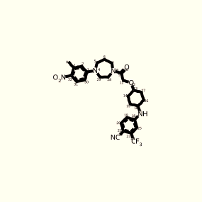 Cc1cc(N2CCCN(C(=O)COC3CCC(Nc4ccc(C#N)c(C(F)(F)F)c4)CC3)CC2)ccc1[N+](=O)[O-]